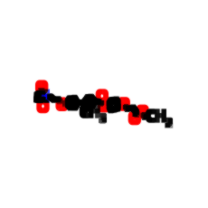 C=COC(=O)CCOc1ccc(OC(=O)c2ccc(-c3ccc(OCCCN4C(=O)C=CC4=O)cc3)c(C)c2)cc1